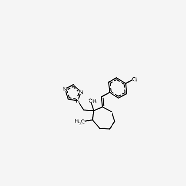 CC1CCCCC(=Cc2ccc(Cl)cc2)C1(O)Cn1cncn1